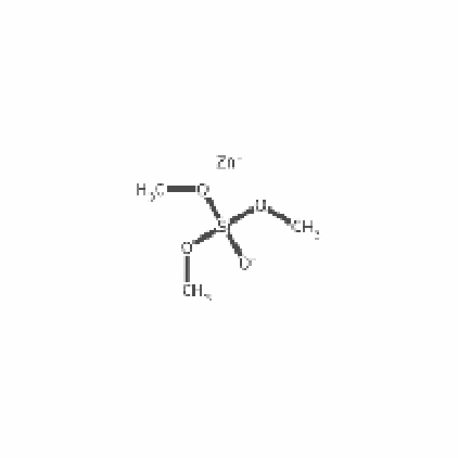 CO[Si]([O-])(OC)OC.[Zn+]